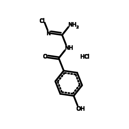 Cl.NC(=NCl)NC(=O)c1ccc(O)cc1